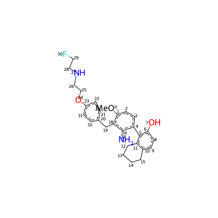 COc1ccc(-c2c(O)ccc3c2CCCC3)c(N)c1Cc1ccc(OCCNCCF)cc1